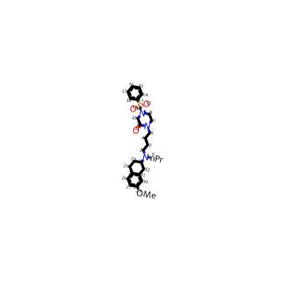 CCCN(CCCCN1CCN(S(=O)(=O)c2ccccc2)CC1=O)C1CCc2ccc(OC)cc2C1